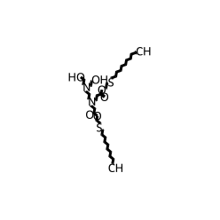 C#CCCCCCCCCCSCCOC(=O)CCN(CCCN(CCO)CCO)CCC(=O)OCCSCCCCCCCCCC#C